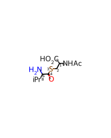 CC(=O)NC(CSC(=O)C(N)C(C)C)C(=O)O